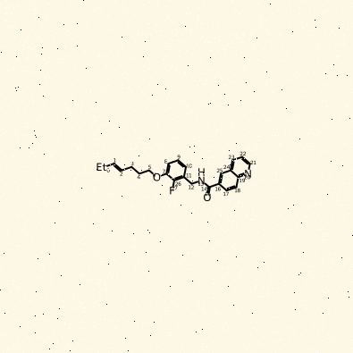 CCC=CCCCOc1cccc(CNC(=O)c2ccc3ncccc3c2)c1F